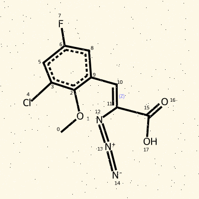 COc1c(Cl)cc(F)cc1/C=C(\N=[N+]=[N-])C(=O)O